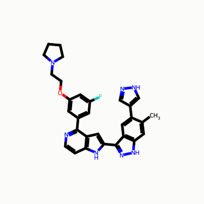 Cc1cc2[nH]nc(-c3cc4c(-c5cc(F)cc(OCCN6CCCC6)c5)nccc4[nH]3)c2cc1-c1cn[nH]c1